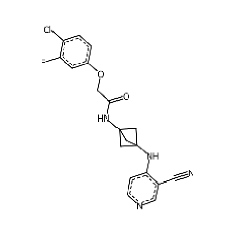 N#Cc1cnccc1NC12CC(NC(=O)COc3ccc(Cl)c(F)c3)(C1)C2